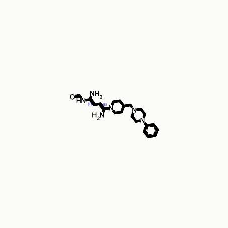 N/C(=C\C=C(/N)N1CCC(CN2CCN(c3ccccc3)CC2)CC1)NC=O